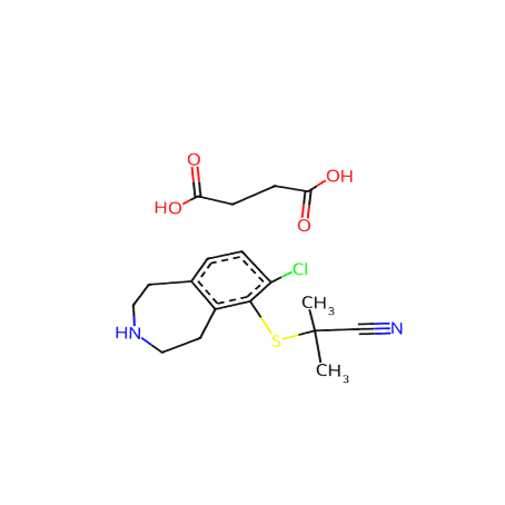 CC(C)(C#N)Sc1c(Cl)ccc2c1CCNCC2.O=C(O)CCC(=O)O